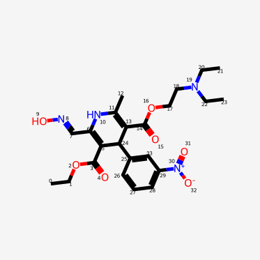 CCOC(=O)C1=C(C=NO)NC(C)=C(C(=O)OCCN(CC)CC)C1c1cccc([N+](=O)[O-])c1